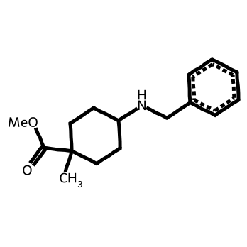 COC(=O)C1(C)CCC(NCc2ccccc2)CC1